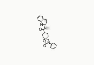 O=C(Nc1cnc2ccccc2n1)C1CCC2(CC1)CN(c1ccccc1)C(=O)O2